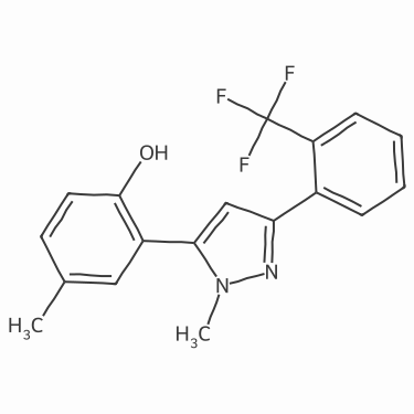 Cc1ccc(O)c(-c2cc(-c3ccccc3C(F)(F)F)nn2C)c1